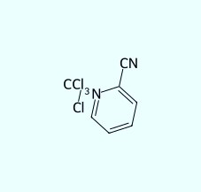 ClC(Cl)(Cl)Cl.N#Cc1ccccn1